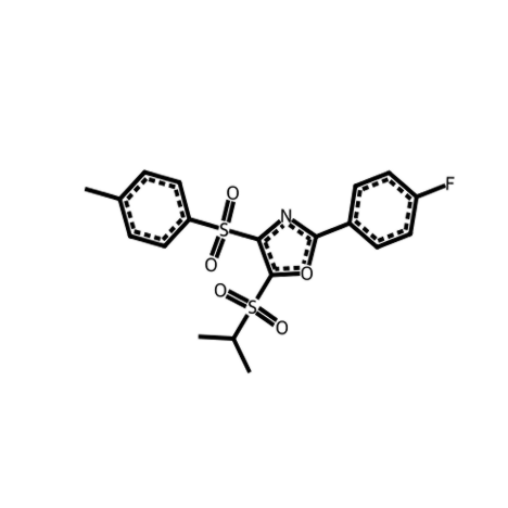 Cc1ccc(S(=O)(=O)c2nc(-c3ccc(F)cc3)oc2S(=O)(=O)C(C)C)cc1